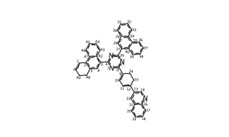 C1=Cc2c(cc(-c3nc(C4=CC=C(c5cnc6ccccc6c5)CC4)nc(-c4cc5ccccc5c5ccccc45)n3)c3ccccc23)CC1